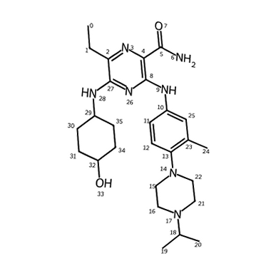 CCc1nc(C(N)=O)c(Nc2ccc(N3CCN(C(C)C)CC3)c(C)c2)nc1NC1CCC(O)CC1